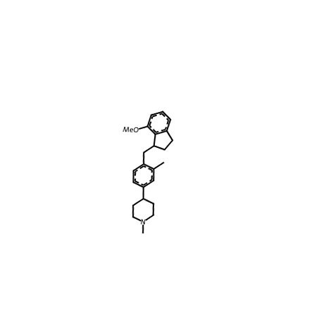 COc1cccc2c1C(Cc1ccc(C3CCN(C)CC3)cc1C)CC2